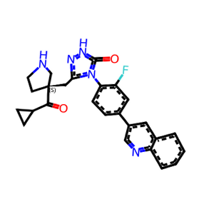 O=C(C1CC1)[C@]1(Cc2n[nH]c(=O)n2-c2ccc(-c3cnc4ccccc4c3)cc2F)CCNC1